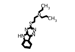 CCCN(CCC)CCSc1nnc2c(n1)[nH]c1ccccc12